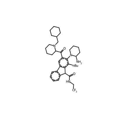 CCCCc1c2c(cc(C(=O)C3CCCCN3CC3CCCCC3)c1N1CCCCC1N)-c1ccccc1C2C(=O)NCC(F)(F)F